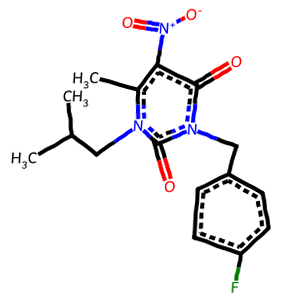 Cc1c([N+](=O)[O-])c(=O)n(Cc2ccc(F)cc2)c(=O)n1CC(C)C